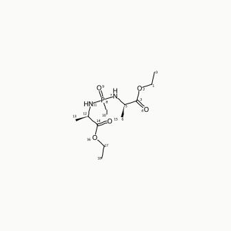 CCOC(=O)[C@@H](C)NP(=O)(I)N[C@H](C)C(=O)OCC